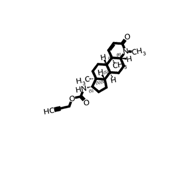 C#CCOC(=O)N[C@H]1CC[C@H]2[C@@H]3CC[C@H]4N(C)C(=O)C=C[C@]4(C)[C@H]3CC[C@]12C